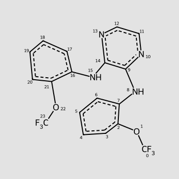 FC(F)(F)Oc1ccccc1Nc1nccnc1Nc1ccccc1OC(F)(F)F